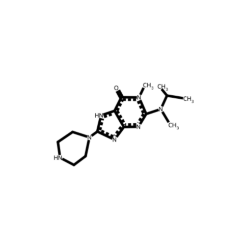 CC(C)N(C)c1nc2nc(N3CCNCC3)[nH]c2c(=O)n1C